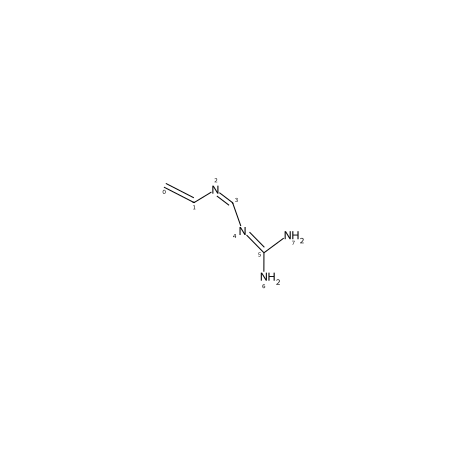 C=C/N=C\N=C(N)N